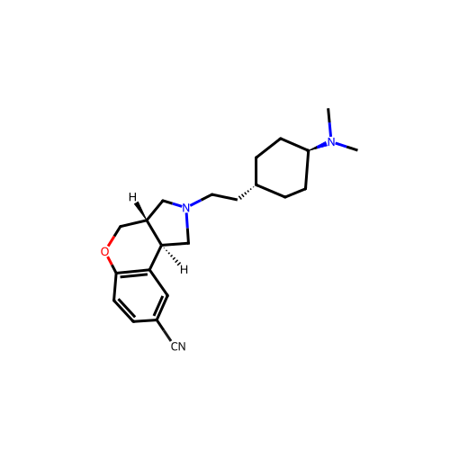 CN(C)[C@H]1CC[C@H](CCN2C[C@H]3COc4ccc(C#N)cc4[C@@H]3C2)CC1